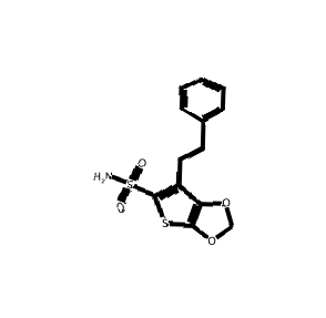 NS(=O)(=O)c1sc2c(c1CCc1ccccc1)OCO2